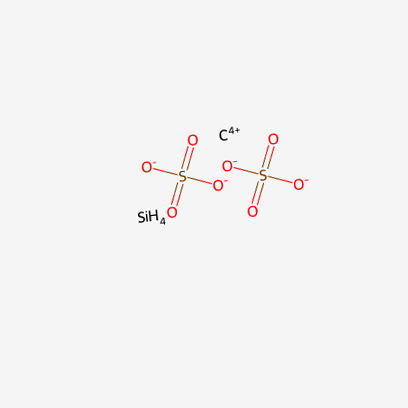 O=S(=O)([O-])[O-].O=S(=O)([O-])[O-].[C+4].[SiH4]